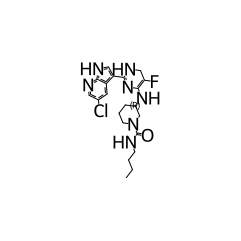 CCCCNC(=O)N1CCC[C@@H](NC2=C(F)CNC(c3c[nH]c4ncc(Cl)cc34)=N2)C1